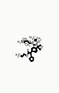 C=CCOC(=O)C(c1ccc(C2(N(COCC[Si](C)(C)C)[S+]([O-])C(C)(C)C)COC2)cc1)C1CCCC1